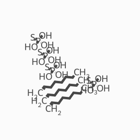 C=CCCCCCC.C=CCCCCCC.C=CCCCCCC.OP(O)(O)=S.OP(O)(O)=S.OP(O)(O)=S.OP(O)(O)=S